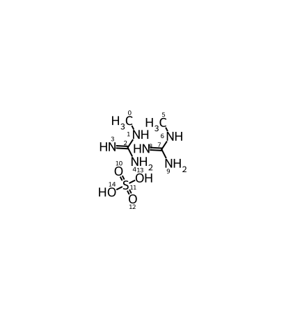 CNC(=N)N.CNC(=N)N.O=S(=O)(O)O